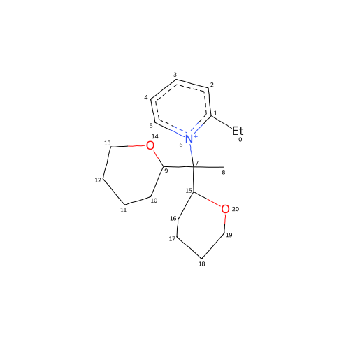 CCc1cccc[n+]1C(C)(C1CCCCO1)C1CCCCO1